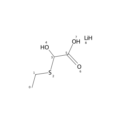 CCSC(O)C(=O)O.[LiH]